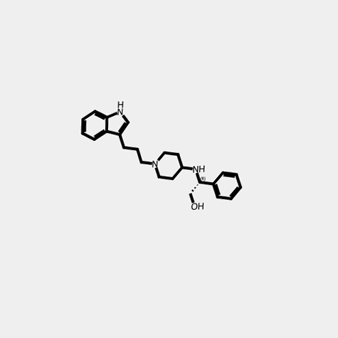 OC[C@H](NC1CCN(CCCc2c[nH]c3ccccc23)CC1)c1ccccc1